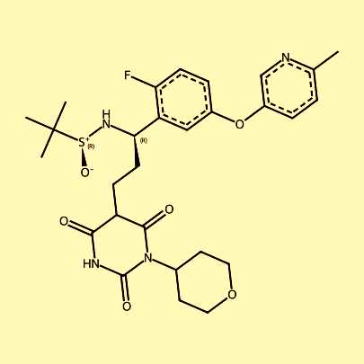 Cc1ccc(Oc2ccc(F)c([C@@H](CCC3C(=O)NC(=O)N(C4CCOCC4)C3=O)N[S@@+]([O-])C(C)(C)C)c2)cn1